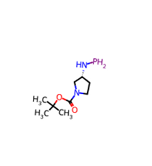 CC(C)(C)OC(=O)N1CC[C@@H](NP)C1